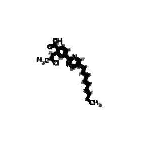 CCCCCCCCCc1cnc(-c2ccc(C(=O)O)c(C[C@@H](C)Cl)c2)nc1